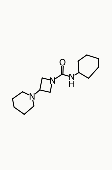 O=C(NC1CCCCC1)N1CC(N2CCCCC2)C1